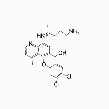 Cc1ccnc2c(N[C@H](C)CCCN)cc(CO)c(Oc3ccc(Cl)c(Cl)c3)c12